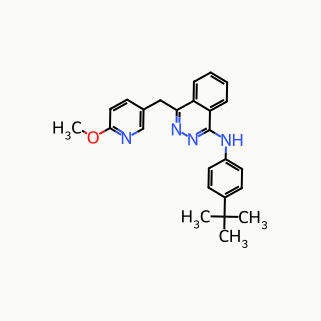 COc1ccc(Cc2nnc(Nc3ccc(C(C)(C)C)cc3)c3ccccc23)cn1